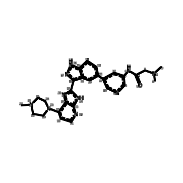 CN(C)CC(=O)Nc1cncc(-c2ccc3[nH]nc(-c4nc5c(N6CCN(C)CC6)ccnc5[nH]4)c3c2)c1